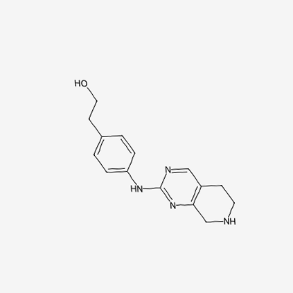 OCCc1ccc(Nc2ncc3c(n2)CNCC3)cc1